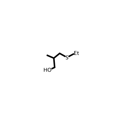 CCSCC(C)CO